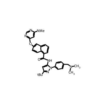 CNc1cc(Oc2ccc3c(C(=O)Nc4cc(C(C)(C)C)nn4-c4ccc(CN(C)C)cc4)cccc3c2)ncn1